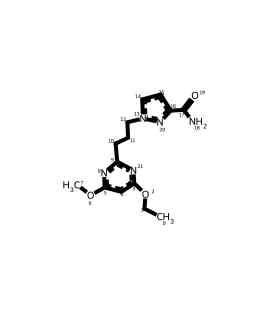 CCOc1cc(OC)nc(CCCn2c[c]c(C(N)=O)n2)n1